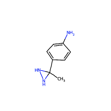 CC1(c2ccc(N)cc2)NN1